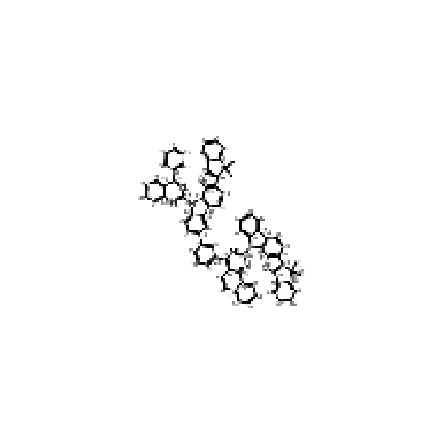 CC1(C)c2ccccc2-c2oc3c(ccc4c5cc(-c6cccc(-c7nc(-n8c9ccccc9c9ccc%10c%11c(oc%10c98)-c8ccccc8C%11(C)C)nc8c7ccc7ccccc78)c6)ccc5n(-c5nc(-c6ccccc6)c6ccccc6n5)c43)c21